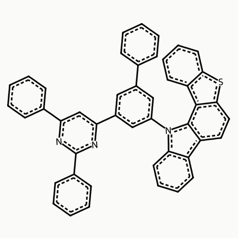 c1ccc(-c2cc(-c3cc(-c4ccccc4)nc(-c4ccccc4)n3)cc(-n3c4ccccc4c4ccc5sc6ccccc6c5c43)c2)cc1